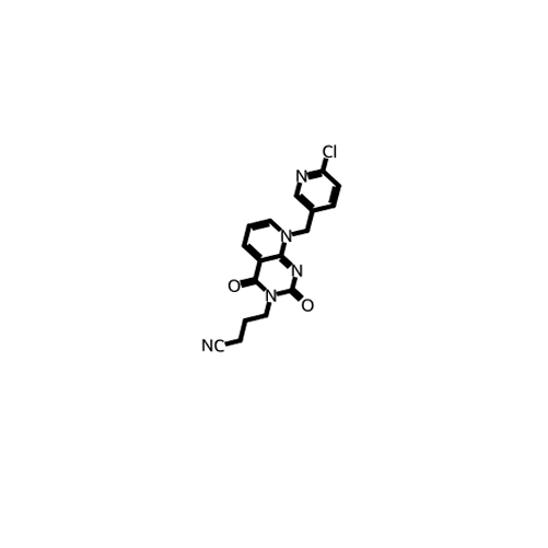 N#CCCCn1c(=O)nc2n(Cc3ccc(Cl)nc3)cccc-2c1=O